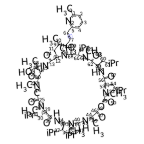 Cc1cccc(/C=C/C[C@@H](C)C[C@@H]2C(=O)NC([C@@H](C)O)C(=O)N(C)CC(=O)N(C)[C@@H](CC(C)C)C(=O)N[C@H](CC(C)C)N(C)[C@H](CC(C)C)N[C@H](C)C(=O)OC(=O)N(C)[C@H](CC(C)C)C(=O)N[C@H](CC(C)C)C(=O)N(C)C(C(C)C)C(=O)N2C)n1